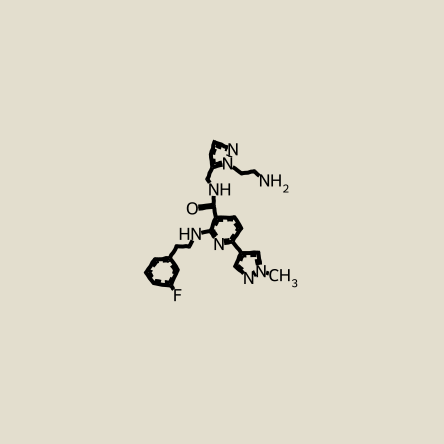 Cn1cc(-c2ccc(C(=O)NCc3ccnn3CCN)c(NCCc3cccc(F)c3)n2)cn1